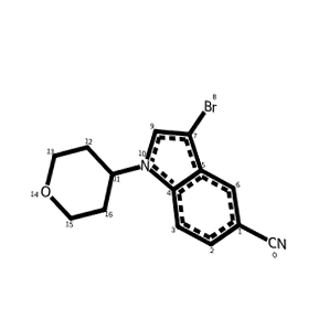 N#Cc1ccc2c(c1)c(Br)cn2C1CCOCC1